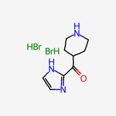 Br.Br.O=C(c1ncc[nH]1)C1CCNCC1